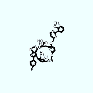 COc1ccccc1-c1nccc(COc2ccc3cc2C[C@H](C(=O)O)Oc2ncnc4sc(-c5ccc(F)cc5)c(c24)-c2ccc(c(Cl)c2C)NCC3)n1